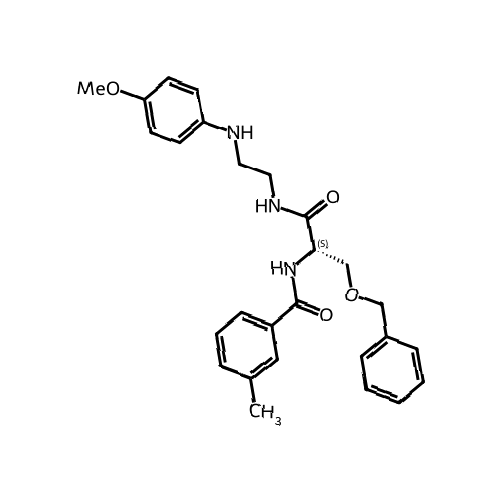 COc1ccc(NCCNC(=O)[C@H](COCc2ccccc2)NC(=O)c2cccc(C)c2)cc1